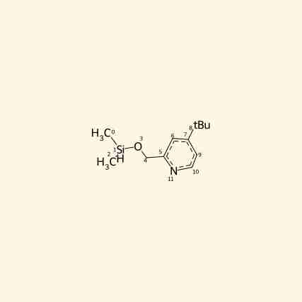 C[SiH](C)OCc1cc(C(C)(C)C)ccn1